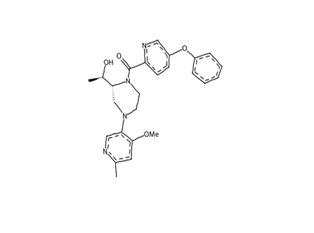 COc1cc(C)ncc1N1CCN(C(=O)c2ccc(Oc3ccccc3)cn2)[C@@H]([C@@H](C)O)C1